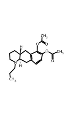 CCCN1CCC[C@@H]2Cc3c(ccc(OC(C)=O)c3OC(C)=O)C[C@H]21